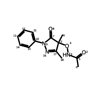 CC(=O)NOC1(C)C(=O)N(c2ccccc2)N=C1C